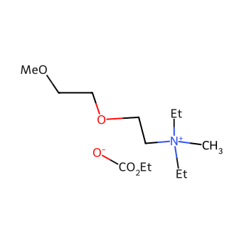 CCOC(=O)[O-].CC[N+](C)(CC)CCOCCOC